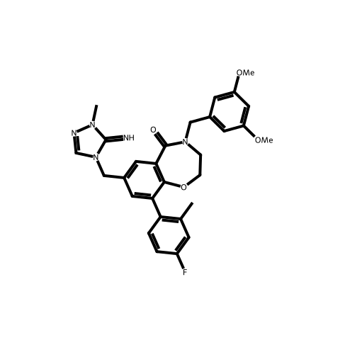 COc1cc(CN2CCOc3c(cc(Cn4cnn(C)c4=N)cc3-c3ccc(F)cc3C)C2=O)cc(OC)c1